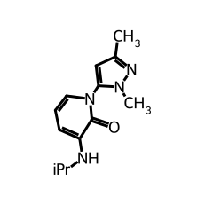 Cc1cc(-n2cccc(NC(C)C)c2=O)n(C)n1